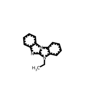 CCn1c2ccccc2n2c3ccccc3nc12